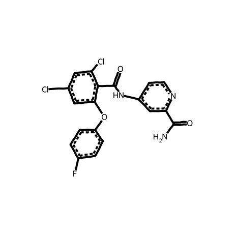 NC(=O)c1cc(NC(=O)c2c(Cl)cc(Cl)cc2Oc2ccc(F)cc2)ccn1